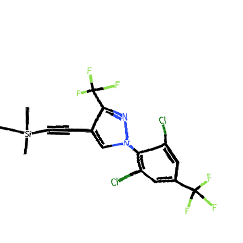 C[Si](C)(C)C#Cc1cn(-c2c(Cl)cc(C(F)(F)F)cc2Cl)nc1C(F)(F)F